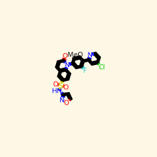 COc1cc(-c2cc(Cl)ccn2)c(F)cc1-n1c(=O)ccc2cc(S(=O)(=O)Nc3ccon3)ccc21